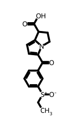 CC[S+]([O-])c1cccc(C(=O)c2ccc3n2CCC3C(=O)O)c1